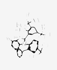 CC(C)(C)C1=C(O)C(C2Nc3c(Br)cccc3N2c2ccc(C(C)(C)C)cc2-c2ccccc2)=CC(C(C)(C)C)C1